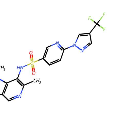 Cc1ncc2cnn(C)c2c1NS(=O)(=O)c1ccc(-n2cc(C(F)(F)F)cn2)nc1